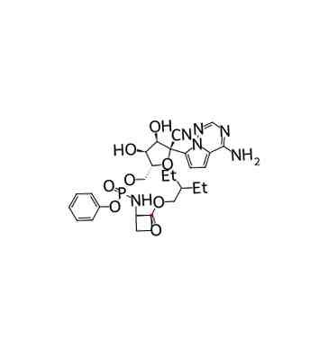 CCC(CC)COC(=O)C1(NP(=O)(OC[C@H]2O[C@@](C#N)(c3ccc4c(N)ncnn34)[C@H](O)[C@@H]2O)Oc2ccccc2)CCC1